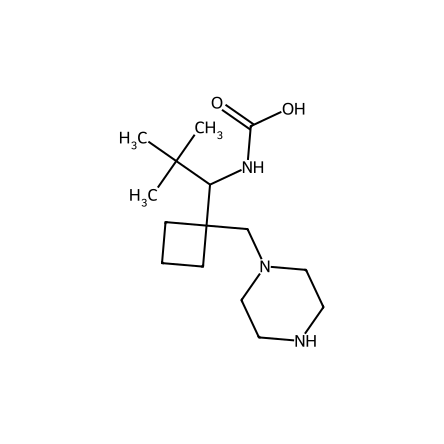 CC(C)(C)C(NC(=O)O)C1(CN2CCNCC2)CCC1